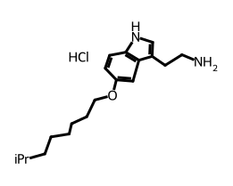 CC(C)CCCCCCOc1ccc2[nH]cc(CCN)c2c1.Cl